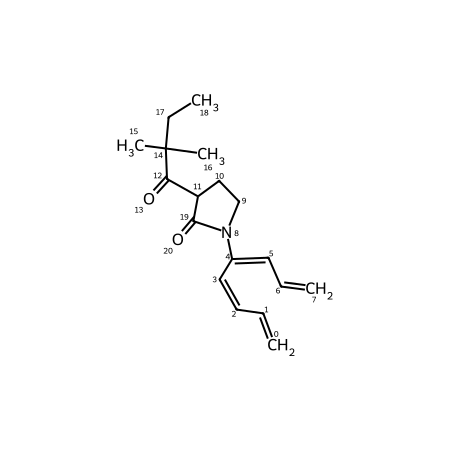 C=C/C=C\C(=C/C=C)N1CCC(C(=O)C(C)(C)CC)C1=O